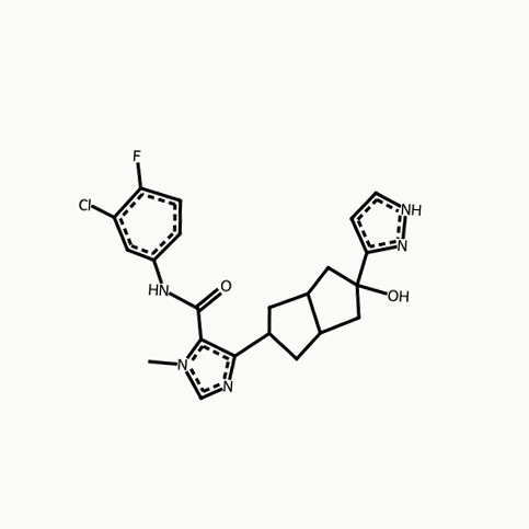 Cn1cnc(C2CC3CC(O)(c4cc[nH]n4)CC3C2)c1C(=O)Nc1ccc(F)c(Cl)c1